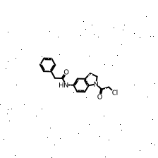 O=C(Cc1ccccc1)Nc1ccc2c(c1)CCN2C(=O)CCl